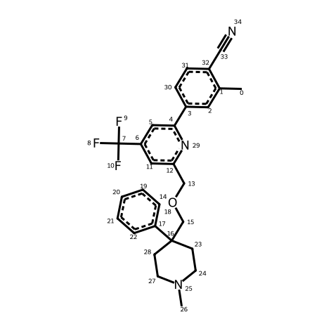 Cc1cc(-c2cc(C(F)(F)F)cc(COCC3(c4ccccc4)CCN(C)CC3)n2)ccc1C#N